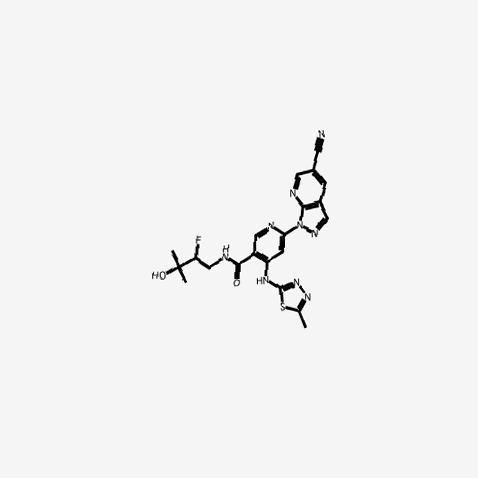 Cc1nnc(Nc2cc(-n3ncc4cc(C#N)cnc43)ncc2C(=O)NCC(F)C(C)(C)O)s1